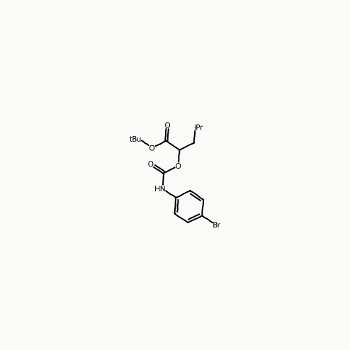 CC(C)CC(OC(=O)Nc1ccc(Br)cc1)C(=O)OC(C)(C)C